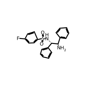 N[C@@H](c1ccccc1)[C@@H](NS(=O)(=O)c1ccc(F)cc1)c1ccccc1